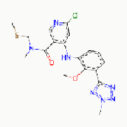 COc1c(Nc2cc(Cl)ncc2C(=O)N(C)CSC)cccc1-c1nnn(C)n1